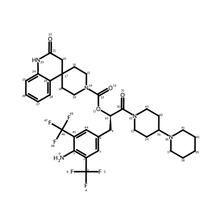 Nc1c(C(F)(F)F)cc(C[C@@H](OC(=O)N2CCC3(CC2)CC(=O)Nc2ccccc23)C(=O)N2CCC(N3CCCCC3)CC2)cc1C(F)(F)F